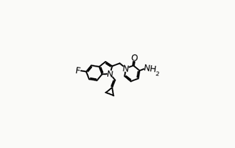 Nc1cccn(Cc2cc3cc(F)ccc3n2C=C2CC2)c1=O